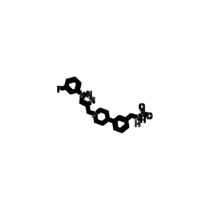 O=[SH](=O)NCc1cccc(C2CCN(Cc3cn(-c4cccc(F)c4)nn3)CC2)c1